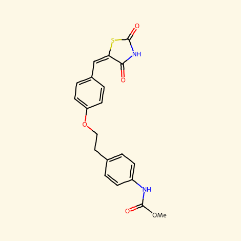 COC(=O)Nc1ccc(CCOc2ccc(C=C3SC(=O)NC3=O)cc2)cc1